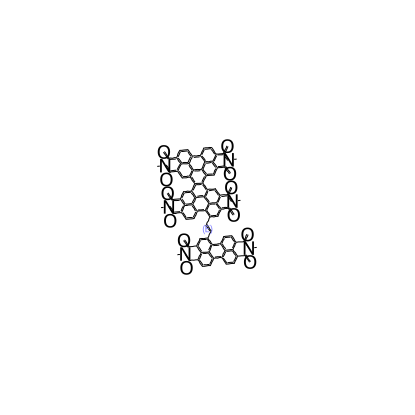 CN1C(=O)c2ccc3c4ccc5c6c(cc(/C=C/c7cc8c(=O)n(C)c(=O)c9cc%10c%11c%12cc%13c(=O)n(C)c(=O)c%14ccc%15c%16ccc%17c(=O)n(C)c(=O)c%18cc(c%11c%11cc%19c(=O)n(C)c(=O)c%20ccc%21c7c(c89)c%10c%11c%21c%20%19)c(c%16c%17%18)c%12c%15c%14%13)c(c7ccc(c2c37)C1=O)c64)C(=O)N(C)C5=O